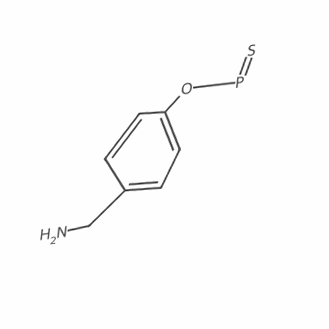 NCc1ccc(OP=S)cc1